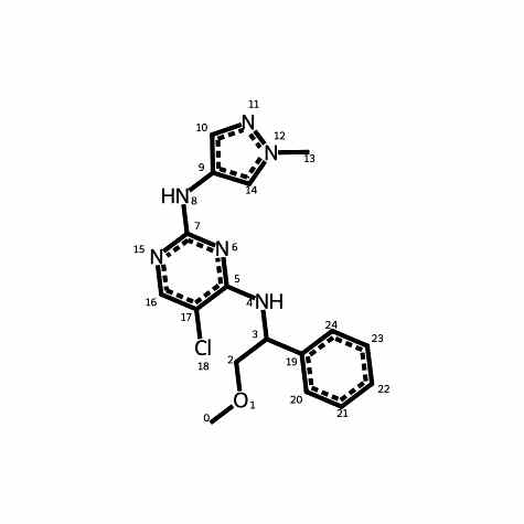 COCC(Nc1nc(Nc2cnn(C)c2)ncc1Cl)c1ccccc1